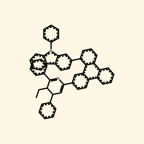 CCC1C(c2ccccc2)=NC(c2ccc3c4ccccc4c4cccc(-c5ccc6c7ccccc7n(-c7ccccc7)c6c5)c4c3c2)=CC1c1ccccc1